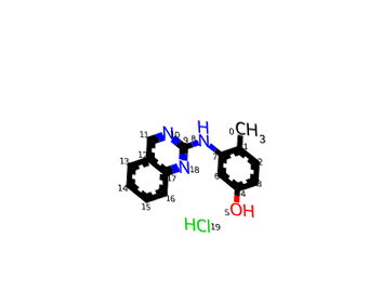 Cc1ccc(O)cc1Nc1ncc2ccccc2n1.Cl